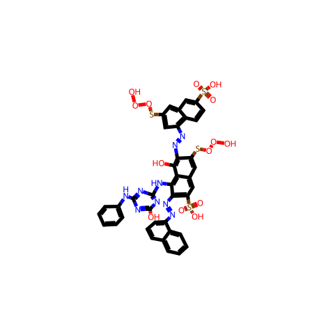 O=S(=O)(O)c1ccc2c(/N=N/c3c(SOOO)cc4cc(S(=O)(=O)O)c(/N=N/c5cccc6ccccc56)c(Nc5nc(O)nc(Nc6ccccc6)n5)c4c3O)cc(SOOO)cc2c1